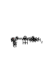 CN(CCCCCCNC(=O)NCCSCc1csc(NC(=N)N)n1)CCC(c1ccc(Cl)cc1)c1ccccn1